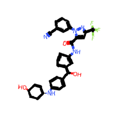 N#Cc1cccc(-n2nc(C(F)(F)F)cc2C(=O)Nc2cccc(C(O)c3ccc(N[C@H]4CC[C@H](O)CC4)cc3)c2)c1